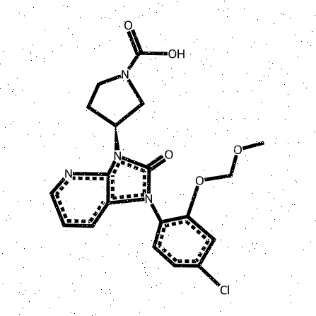 COCOc1cc(Cl)ccc1-n1c(=O)n([C@H]2CCN(C(=O)O)C2)c2ncccc21